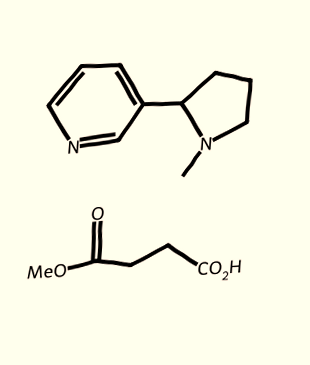 CN1CCCC1c1cccnc1.COC(=O)CCC(=O)O